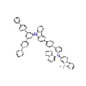 CC1(C)c2ccccc2-c2ccc(N(c3cccc(-c4ccc(-c5ccc6c(c5)c5ccccc5n6-c5cc(-c6ccc(-c7ccccc7)cc6)cc(-c6ccc(-c7ccccc7)cc6)c5)cc4)c3)c3cccc4ccccc34)cc21